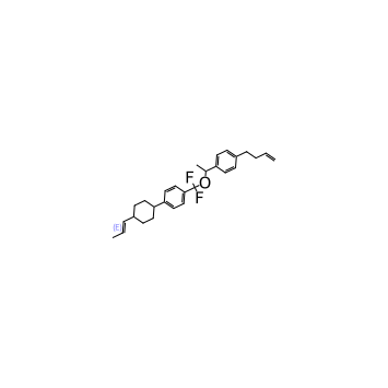 C=CCCc1ccc(C(C)OC(F)(F)c2ccc(C3CCC(/C=C/C)CC3)cc2)cc1